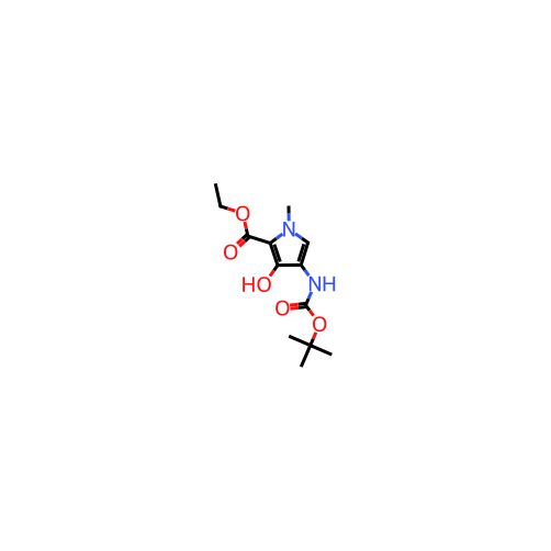 CCOC(=O)c1c(O)c(NC(=O)OC(C)(C)C)cn1C